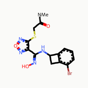 CNC(=O)CSc1nonc1/C(=N\O)NC1Cc2c(Br)cccc21